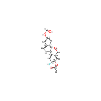 CC(=O)Oc1ccc2c3c(ccc2c1)-c1cc(F)c(OC(C)=O)cc1CO3